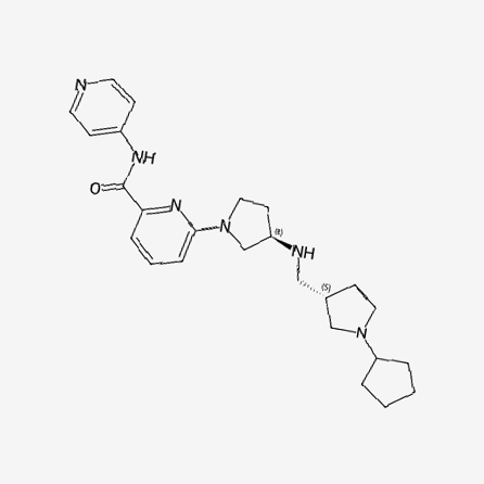 O=C(Nc1ccncc1)c1cccc(N2CC[C@@H](NC[C@@H]3CCN(C4CCCC4)C3)C2)n1